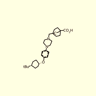 CC(C)(C)[C@H]1CC[C@H](Oc2ccc(N3CCN(CC45CCC(C(=O)O)(CC4)CC5)CC3)cc2)CC1